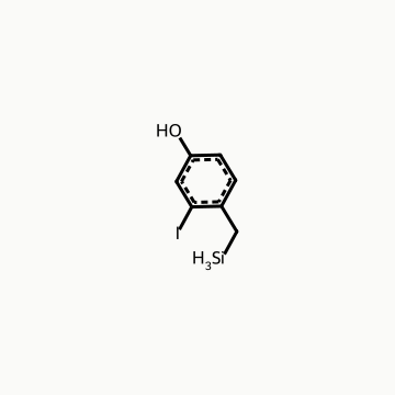 Oc1ccc(C[SiH3])c(I)c1